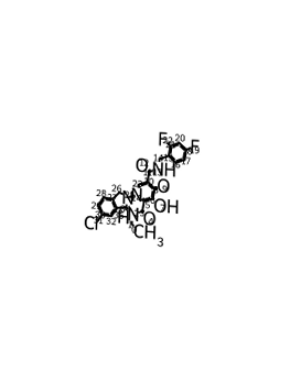 CCN1C(=O)c2c(O)c(=O)c(C(=O)NCc3ccc(F)cc3F)cn2N2Cc3ccc(Cl)cc3[C@@H]12